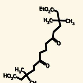 CCOC(=O)CC(C)(C)CCC(=O)CCCC(=O)CCC(C)(C)CC(=O)O